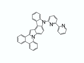 c1ccc(-c2cccc(-n3c4ccccc4c4c5cc6c7ccccc7c7ccccc7n6c5ccc43)n2)nc1